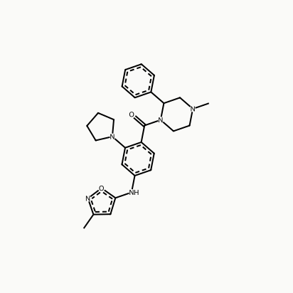 Cc1cc(Nc2ccc(C(=O)N3CCN(C)CC3c3ccccc3)c(N3CCCC3)c2)on1